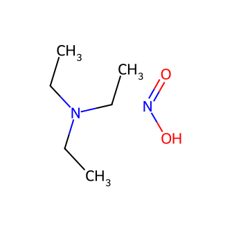 CCN(CC)CC.O=NO